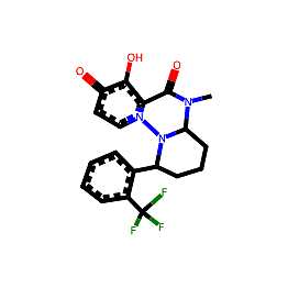 CN1C(=O)c2c(O)c(=O)ccn2N2C(c3ccccc3C(F)(F)F)CCCC12